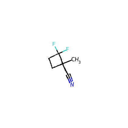 CC1(C#N)CCC1(F)F